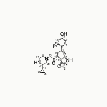 Cc1n[nH]c2nc(-c3ccc(O)cc3F)cc(C(=O)CN3CCNC(C4CC4)C3)c12